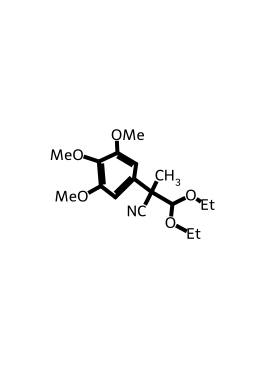 CCOC(OCC)C(C)(C#N)c1cc(OC)c(OC)c(OC)c1